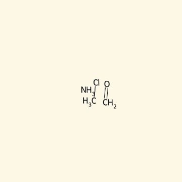 C=O.CCl.N